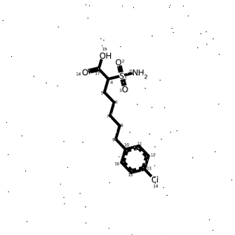 NS(=O)(=O)C(CCCCCc1ccc(Cl)cc1)C(=O)O